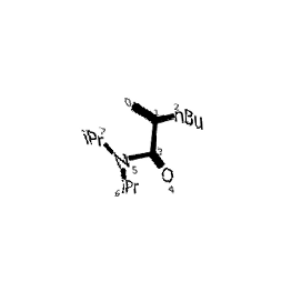 C=C(CCCC)C(=O)N(C(C)C)C(C)C